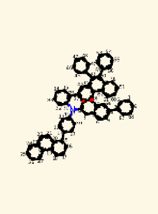 c1ccc(-c2ccc3cc(N(c4ccc(-c5cccc6c5ccc5ccccc56)cc4)c4ccccc4-c4ccc5c(c4)c(-c4ccccc4)c(-c4ccccc4)c4ccccc45)ccc3c2)cc1